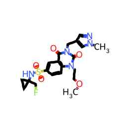 COCCn1c(=O)n(Cc2cnn(C)c2)c(=O)c2cc(S(=O)(=O)NC3(CF)CC3)ccc21